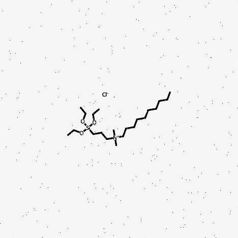 CCCCCCCCCC[N+](C)(C)CCC[Si](OCC)(OCC)OCC.[Cl-]